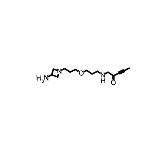 CC#CC(=O)CNCCCOCCCN1CC(N)C1